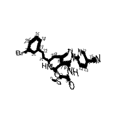 CSCC(=O)Nc1c2c(nn1-c1ccc(C#N)cn1)CC(CCc1cccc(Br)c1)NC2=O